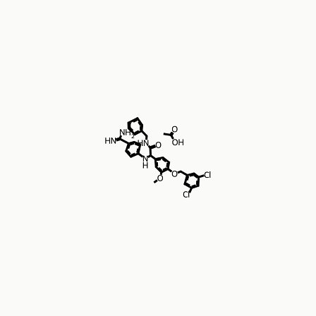 CC(=O)O.COc1cc(C(Nc2ccc(C(=N)N)cc2)C(=O)NCc2ccccc2)ccc1OCc1cc(Cl)cc(Cl)c1